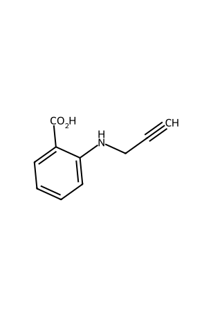 C#CCNc1ccccc1C(=O)O